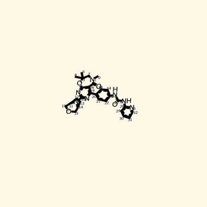 CN1CC(C)(C)Oc2nc(N3C4CCC3COC4)nc(-c3ccc(NC(=O)Nc4ccccn4)cc3)c2C1=O